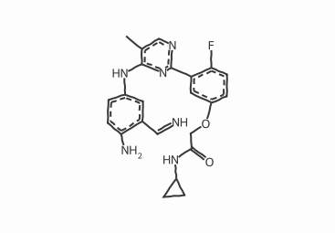 Cc1cnc(-c2cc(OCC(=O)NC3CC3)ccc2F)nc1Nc1ccc(N)c(C=N)c1